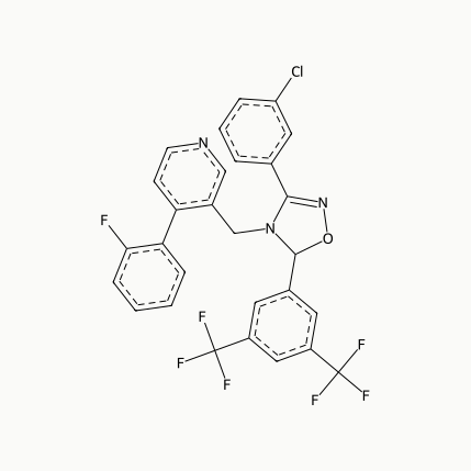 Fc1ccccc1-c1ccncc1CN1C(c2cccc(Cl)c2)=NOC1c1cc(C(F)(F)F)cc(C(F)(F)F)c1